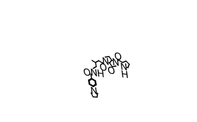 CC(CCNC(=O)c1ccc(N2CCCC2)cc1)CC(=O)N1CCC2C1C(=O)CN2C(=O)C1CCCN1